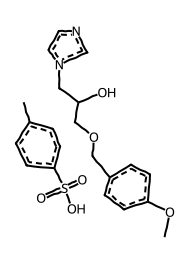 COc1ccc(COCC(O)Cn2ccnc2)cc1.Cc1ccc(S(=O)(=O)O)cc1